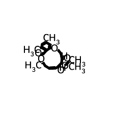 Cc1cc(C)c2c(c1)OCC[C@@H]1OC(C)(C)O[C@@H]1C(=O)/C=C\C[C@H](C)OC2=O